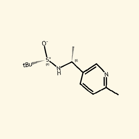 Cc1ccc([C@@H](C)N[S@@+]([O-])C(C)(C)C)cn1